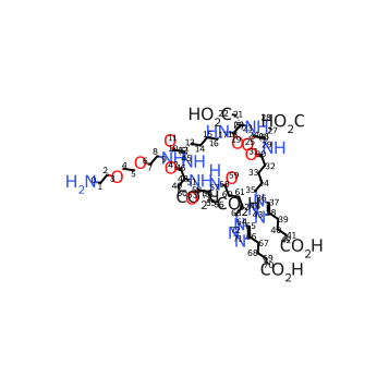 NCCOCCOCCNC(=O)[C@H](CCCCNC(=O)[C@H](CC(=O)O)NC(=O)[C@H](CC(=O)O)NC(=O)CCCCn1cc(CCCC(=O)O)nn1)NC(=O)C(CC(=O)O)NC(=O)[C@H](CC(=O)O)NC(=O)CCCCn1cc(CCCC(=O)O)nn1